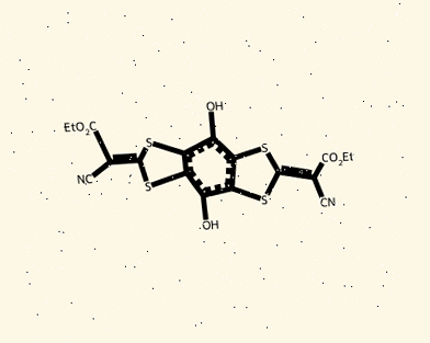 CCOC(=O)C(C#N)=C1Sc2c(O)c3c(c(O)c2S1)SC(=C(C#N)C(=O)OCC)S3